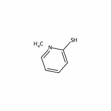 C.Sc1ccccn1